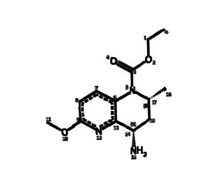 CCOC(=O)N1c2ccc(OC)nc2[C@@H](N)C[C@H]1C